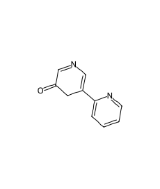 O=C1C=NC=C(c2ccccn2)C1